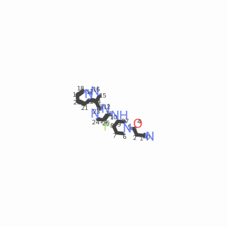 N#CCC(=O)N1CCC[C@@H](Nc2nc(-c3cnn4ccccc34)ncc2F)C1